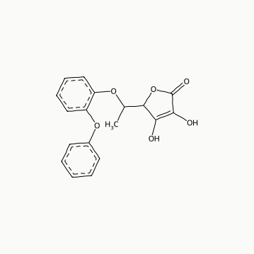 CC(Oc1ccccc1Oc1ccccc1)C1OC(=O)C(O)=C1O